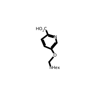 CCCCCCCOc1ccc(C(=O)O)nc1